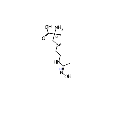 C/C(=N\O)NCC[Se]C[C@@](C)(N)C(=O)O